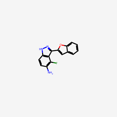 Nc1ccc2[nH]nc(-c3cc4ccccc4o3)c2c1F